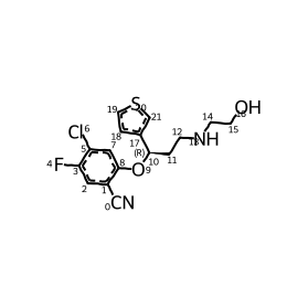 N#Cc1cc(F)c(Cl)cc1O[C@H](CCNCCO)c1ccsc1